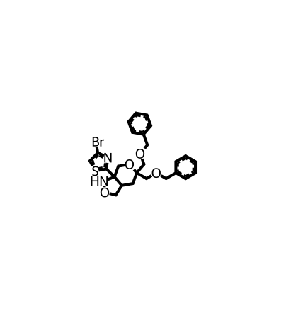 Brc1csc(C23COC(COCc4ccccc4)(COCc4ccccc4)CC2CON3)n1